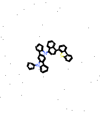 c1ccc(-n2c3ccccc3c3cc4c(cc32)c2ccccc2n4-c2ccc(-c3cccc4c3sc3ccccc34)c3ccccc23)cc1